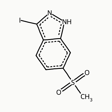 CS(=O)(=O)c1ccc2c(I)n[nH]c2c1